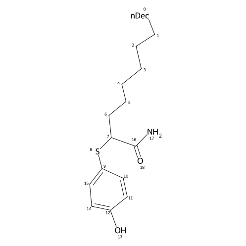 CCCCCCCCCCCCCCCCC(Sc1ccc(O)cc1)C(N)=O